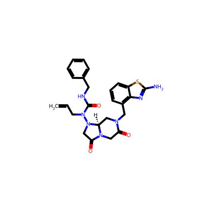 C=CCN(C(=O)NCc1ccccc1)N1CC(=O)N2CC(=O)N(Cc3cccc4sc(N)nc34)C[C@@H]21